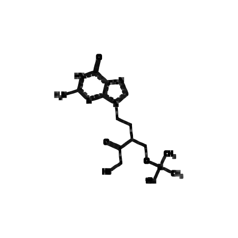 CC(C)(C)[Si](C)(C)OCC(CCn1cnc2c(=O)[nH]c(N)nc21)C(=O)CS